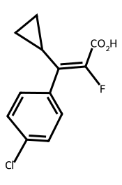 O=C(O)C(F)=C(c1ccc(Cl)cc1)C1CC1